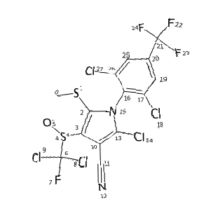 CSc1c([S+]([O-])C(F)(Cl)Cl)c(C#N)c(Cl)n1-c1c(Cl)cc(C(F)(F)F)cc1Cl